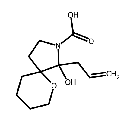 C=CCC1(O)N(C(=O)O)CCC12CCCCO2